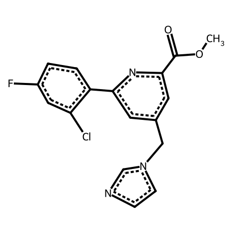 COC(=O)c1cc(Cn2ccnc2)cc(-c2ccc(F)cc2Cl)n1